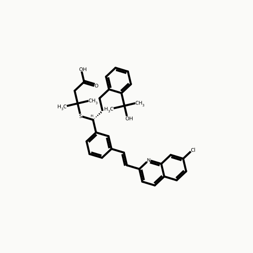 CC(C)(CC(=O)O)S[C@H](CCc1ccccc1C(C)(C)O)c1cccc(C=Cc2ccc3ccc(Cl)cc3n2)c1